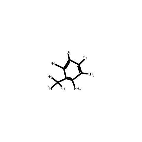 [2H]c1c(C)c(N)c(C([2H])([2H])[2H])c([2H])c1Br